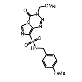 COCn1nnc2c(S(=O)(=O)NCc3ccc(OC)cc3)ncn2c1=O